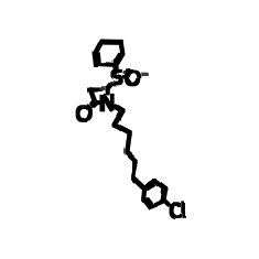 O=C1C[C@@H]([S@@+]([O-])c2ccccc2)N1CCCCCCc1ccc(Cl)cc1